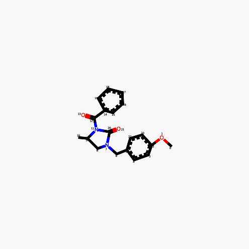 COc1ccc(CN2CC(C)N(C(=O)c3ccccc3)C2=O)cc1